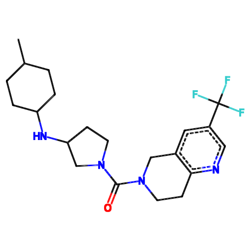 CC1CCC(NC2CCN(C(=O)N3CCc4ncc(C(F)(F)F)cc4C3)C2)CC1